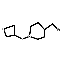 BrCC1CCN(SC2COC2)CC1